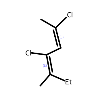 CC/C(C)=C(Cl)\C=C(/C)Cl